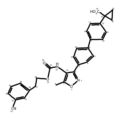 Cc1onc(-c2ccc(-c3ccc(C4(C(=O)O)CC4)cc3)cc2)c1NC(=O)OCCc1cccc(C#N)c1